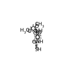 COc1ccc(OC)c(NS(=O)(=O)c2ccc(NC(=O)C#CS)cc2)c1